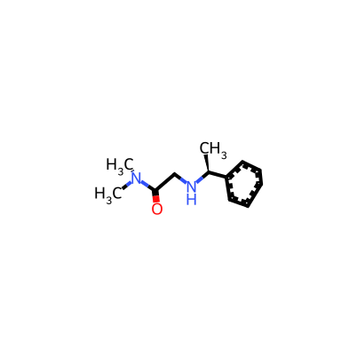 C[C@H](NCC(=O)N(C)C)c1ccccc1